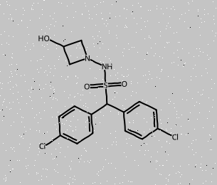 O=S(=O)(NN1CC(O)C1)C(c1ccc(Cl)cc1)c1ccc(Cl)cc1